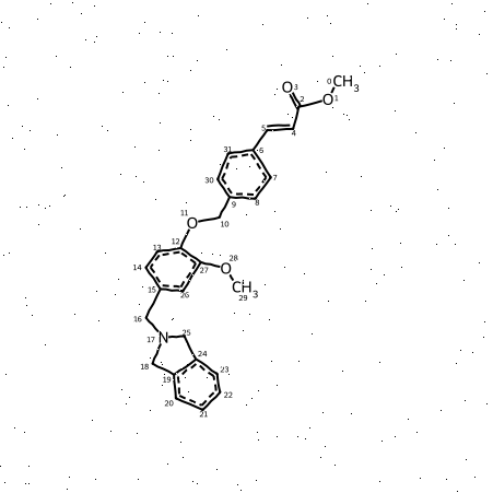 COC(=O)/C=C/c1ccc(COc2ccc(CN3Cc4ccccc4C3)cc2OC)cc1